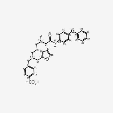 CN(CCCN(Cc1ccc(C(=O)O)cc1)Cc1ccco1)CC(=O)Nc1ccc(Oc2ccccc2)cc1